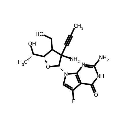 CC#CC1(N)C(CO)[C@@H]([C@H](C)O)O[C@H]1n1cc(F)c2c(=O)[nH]c(N)nc21